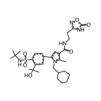 Cc1c(C(=O)NCCc2noc(=O)[nH]2)cc(-c2ccc(S(=O)(=O)NC(C)(C)C)c(C(C)(C)O)c2)n1CC1CCCCC1